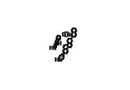 N=[N+]=N.O=C1C2=CC=C1C=C2.c1ccc2c(N3CCOCC3)c(C3CCc4c(ccc5c4ccc4cc(N6CCNCC6)ccc45)C3)ccc2c1